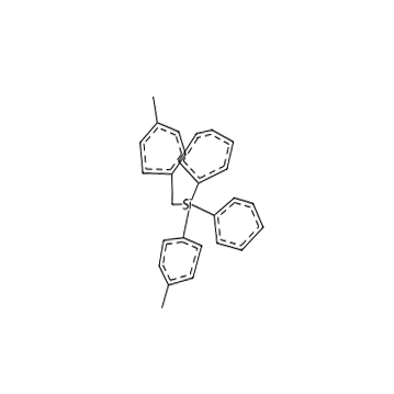 Cc1ccc(C[Si](c2ccccc2)(c2ccccc2)c2ccc(C)cc2)cc1